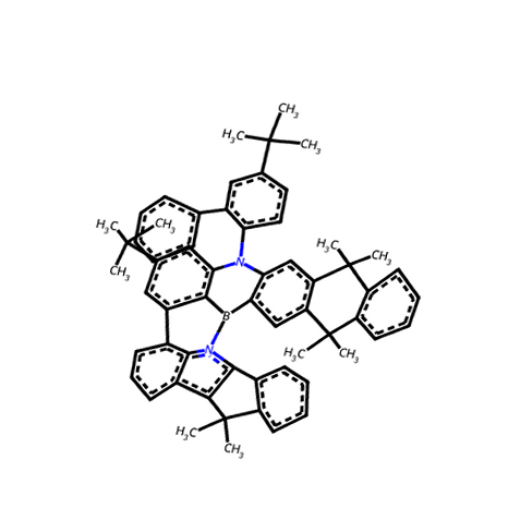 CC(C)(C)c1ccc(N2c3cc4c(cc3B3c5c(cc(C(C)(C)C)cc52)-c2cccc5c6c(n3c25)-c2ccccc2C6(C)C)C(C)(C)c2ccccc2C4(C)C)c(-c2ccccc2)c1